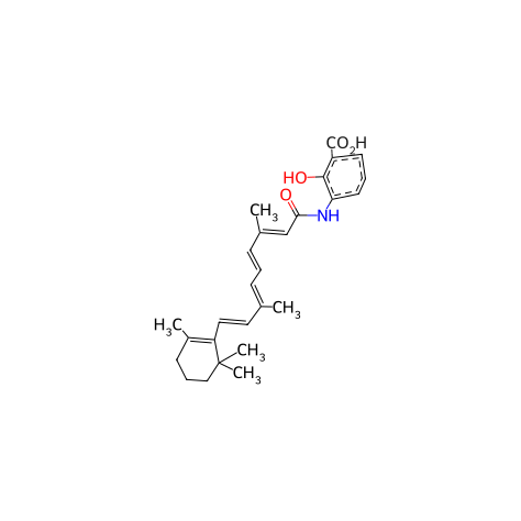 CC(C=CC1=C(C)CCCC1(C)C)=CC=CC(C)=CC(=O)Nc1cccc(C(=O)O)c1O